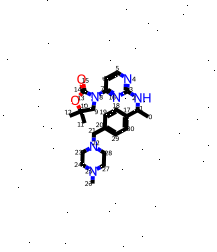 CC(Nc1nccc(N2CC(C)(C)OC2=O)n1)c1ccc(CN2CCN(C)CC2)cc1